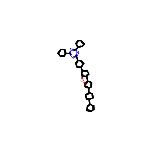 c1ccc(-c2ccc(-c3ccc4c(c3)oc3cc(-c5ccc(-c6nc(-c7ccccc7)nc(-c7ccccc7)n6)cc5)ccc34)cc2)cc1